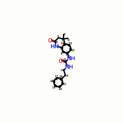 CC1(C)CC(=O)Nc2cc(NC(=O)NCCc3ccccc3)ccc21